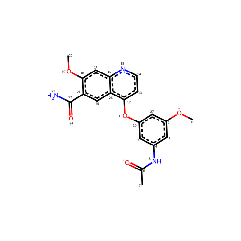 COc1cc(NC(C)=O)cc(Oc2ccnc3cc(OC)c(C(N)=O)cc23)c1